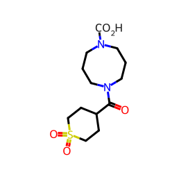 O=C(O)N1CCCN(C(=O)C2CCS(=O)(=O)CC2)CCC1